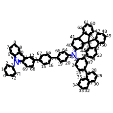 c1ccc(-n2c3ccccc3c3cc(-c4ccc(-c5ccc(N(c6ccc(-c7cccc8ccccc78)cc6)c6ccc7c(c6)C6(c8ccccc8-c8ccccc86)c6ccccc6-7)cc5)cc4)ccc32)cc1